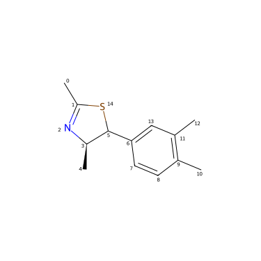 CC1=N[C@H](C)C(c2ccc(C)c(C)c2)S1